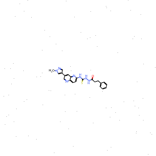 Cn1cc(-c2cnc3ccc(NC(=S)NNC(=O)CCc4ccccc4)nc3c2)cn1